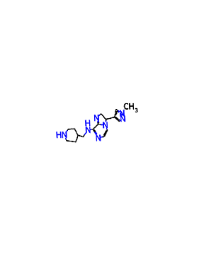 Cn1cc(C2CN=C3C(NCC4CCNCC4)=NC=CN32)cn1